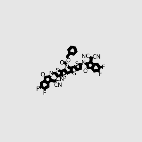 N#CC(C#N)=C1/C(=N/c2cc3sc4c5sc6cc(/N=C7/C(=O)c8cc(F)c(F)cc8C7=C(C#N)C#N)sc6c5n(C(=O)OCc5ccccc5)c4c3s2)C(=O)c2cc(F)c(F)cc21